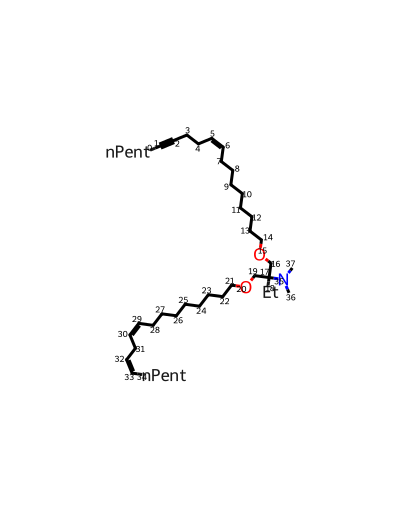 CCCCCC#CCC/C=C\CCCCCCCCOCC(CC)(COCCCCCCCC/C=C\C/C=C\CCCCC)N(C)C